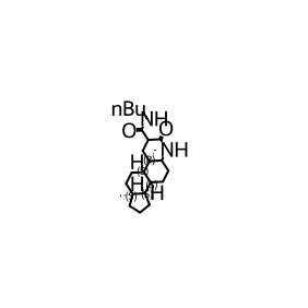 CCCCNC(=O)C1C[C@@]2(C)C(CC[C@H]3[C@@H]4CCC[C@@]4(C)CC[C@@H]32)NC1=O